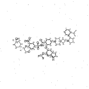 CC(C)c1ccccc1[C@H]1CCCN1C1CC2(CCN(c3ccc(C(=O)NS(=O)(=O)c4cc5c(c([N+](=O)[O-])c4)S[C@@H](C[C@H]4CC[C@](C)(O)CC4)CO5)c(Oc4cc5cc[nH]c5nc4OC(F)F)c3)CC2)C1